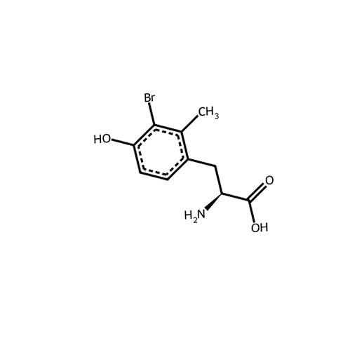 Cc1c(C[C@H](N)C(=O)O)ccc(O)c1Br